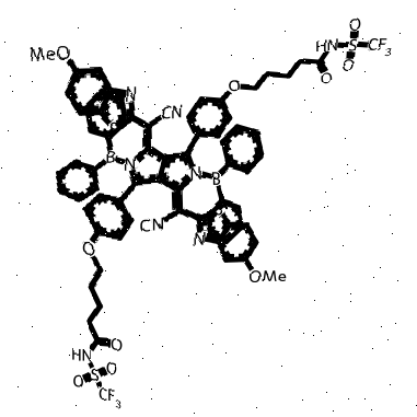 [C-]#[N+]/C(c1nc2cc(OC)ccc2s1)=c1\c2c(-c3ccc(OCCCCC(=O)NS(=O)(=O)C(F)(F)F)cc3)n(B(c3ccccc3)c3ccccc3)/c(=C(/C#N)c3nc4cc(OC)ccc4s3)c2c(-c2ccc(OCCCCC(=O)NS(=O)(=O)C(F)(F)F)cc2)n1B(c1ccccc1)c1ccccc1